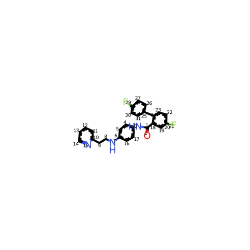 O=C(Nc1ccc(NCCc2ccccn2)cc1)c1cc(F)ccc1-c1ccc(F)cc1